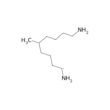 CC(CCC[CH]N)CCCCN